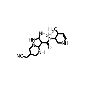 CC1C=CNCC1NC(=O)C1C(N)NN2CC(CC#N)CNC12